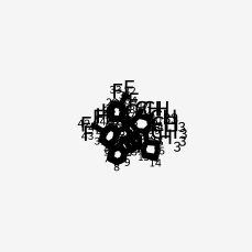 CC12C(=C3Cc4ccccc4C3=C3C=CCCC31)C(C)(C(C1=CC=CC1)(c1cccc(C(F)(F)F)c1)c1cccc(C(F)(F)F)c1)C(C)(C)C(C)(C)C2(C)C